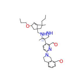 CCCOC1C=C2C(C)(CCC)CC2(CN/C(C)=C(\C=N)c2ccc(N3CCc4cccc(C=O)c4C3)nc2C=O)C1